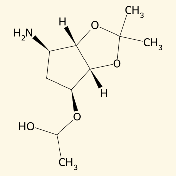 CC(O)O[C@H]1C[C@@H](N)[C@@H]2OC(C)(C)O[C@@H]21